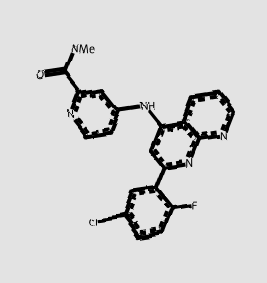 CNC(=O)c1cc(Nc2cc(-c3cc(Cl)ccc3F)nc3ncccc23)ccn1